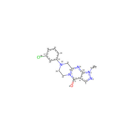 CC(C)n1ncc2c(=O)n3c(nc21)CN(c1cccc(Cl)c1)CC3